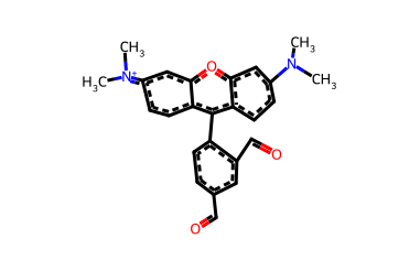 CN(C)c1ccc2c(-c3ccc(C=O)cc3C=O)c3ccc(=[N+](C)C)cc-3oc2c1